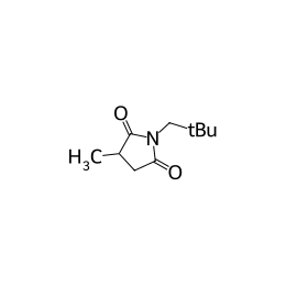 CC1CC(=O)N(CC(C)(C)C)C1=O